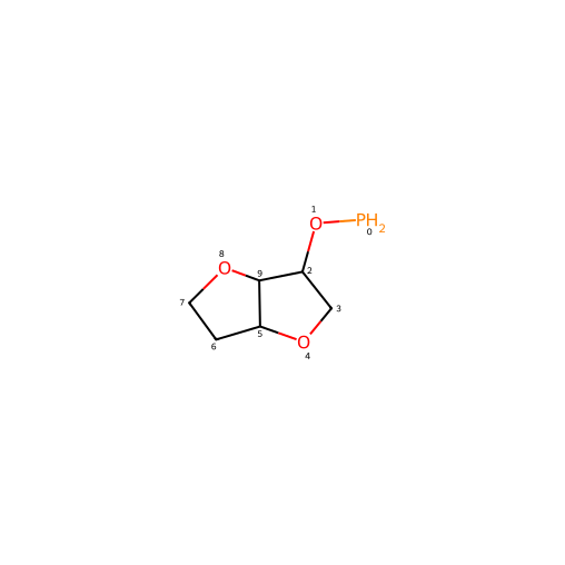 POC1COC2CCOC12